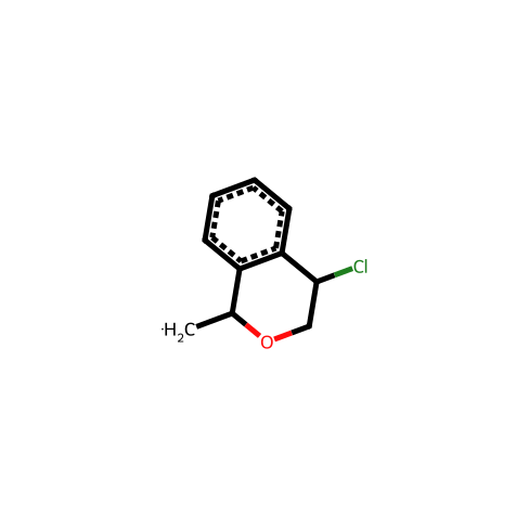 [CH2]C1OCC(Cl)c2ccccc21